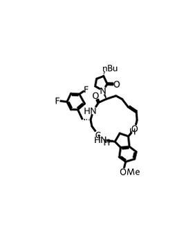 CCCC[C@H]1CCN([C@H]2CC/C=C/CO[C@@H]3C[C@H](NCC[C@H](Cc4cc(F)cc(F)c4)NC2=O)c2cc(OC)ccc23)C1=O